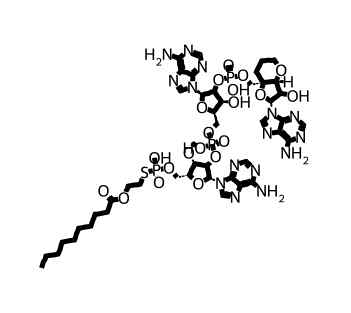 CCCCCCCCCC(=O)OCCSP(=O)(O)OC[C@H]1O[C@@H](n2cnc3c(N)ncnc32)C(OP(=O)(O)OC[C@H]2O[C@@H](n3cnc4c(N)ncnc43)C(OP(=O)(O)OC[C@]34CCCO[C@@H]3C(O)[C@H](n3cnc5c(N)ncnc53)O4)[C@H]2O)[C@H]1OC